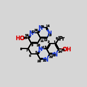 CC(C)c1cc2nc(CC(C)c3cc4cncnc4nc3O)cnc2nc1O